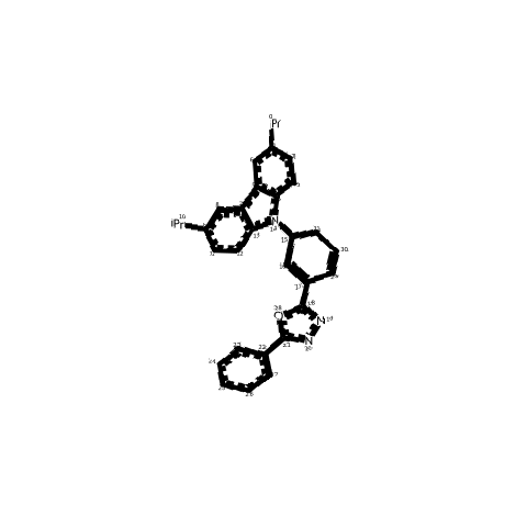 CC(C)c1ccc2c(c1)c1cc(C(C)C)ccc1n2C1C=C(c2nnc(-c3ccccc3)o2)C=CC1